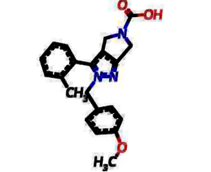 COc1ccc(Cn2nc3c(c2-c2ccccc2C)CN(C(=O)O)C3)cc1